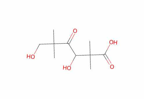 CC(C)(CO)C(=O)C(O)C(C)(C)C(=O)O